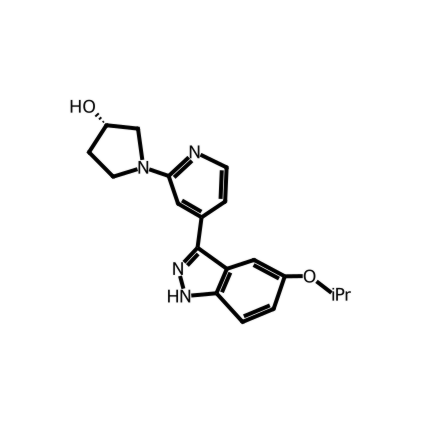 CC(C)Oc1ccc2[nH]nc(-c3ccnc(N4CC[C@H](O)C4)c3)c2c1